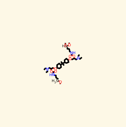 CCN(CC)CC(COC1CCC(C(C)(C)C2CCC(OCC(CN(CC)CC)OC(=O)NCCC[SiH](OC)OC)CC2)CC1)OC(=O)NCCC[SiH2]OC